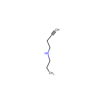 C#CCCNCCC